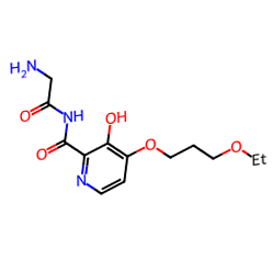 CCOCCCOc1ccnc(C(=O)NC(=O)CN)c1O